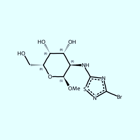 CO[C@H]1O[C@H](CO)[C@H](O)[C@H](O)[C@H]1Nc1nc(Br)ns1